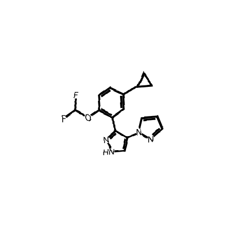 FC(F)Oc1ccc(C2CC2)cc1-c1n[nH]cc1-n1cccn1